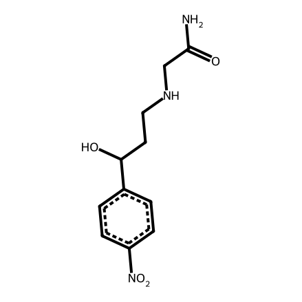 NC(=O)CNCCC(O)c1ccc([N+](=O)[O-])cc1